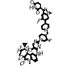 Cn1nc(C2CCC(=O)NC2=O)c2cc(F)c(C3CCN(C[C@@H]4CCN(c5ncc(Cl)c(Nc6ccc7c(c6)c6c(c(=O)n7C)OCC(F)(F)[C@H](C7CC7)N6)n5)C[C@@H]4F)CC3)cc21